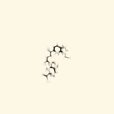 CCn1cnc2ccc(C(C)CCC(C)n3cnc4cnc(C(C)C)nc43)nc21